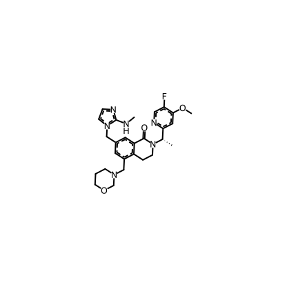 CNc1nccn1Cc1cc(CN2CCCOC2)c2c(c1)C(=O)N([C@@H](C)c1cc(OC)c(F)cn1)CC2